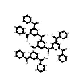 O=C(c1ccccc1)c1cc(C(=O)c2ccccc2)cc(C(=O)c2cc(C(=O)c3cc(C(=O)c4ccccc4)cc(C(=O)c4ccccc4)c3)cc(C(=O)c3cc(C(=O)c4ccccc4)cc(C(=O)c4ccccc4)c3)c2)c1